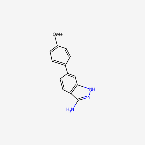 COc1ccc(-c2ccc3c(N)n[nH]c3c2)cc1